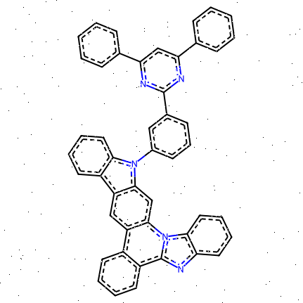 c1ccc(-c2cc(-c3ccccc3)nc(-c3cccc(-n4c5ccccc5c5cc6c7ccccc7c7nc8ccccc8n7c6cc54)c3)n2)cc1